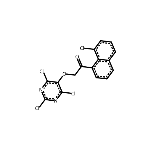 O=C(COc1c(Cl)nc(Cl)nc1Cl)c1cccc2cccc(Cl)c12